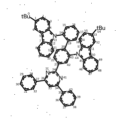 CC(C)(C)c1ccc2c(c1)c1ccccc1n2-c1ccccc1-c1ccc(-c2nc(-c3ccccc3)cc(-c3ccccc3)n2)cc1-n1c2ccccc2c2cc(C(C)(C)C)ccc21